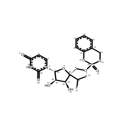 O=c1ccn([C@@H]2O[C@@](COP3(=O)OCc4ccccc4O3)(C(F)F)[C@@H](O)[C@H]2O)c(=O)[nH]1